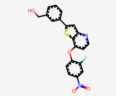 O=[N+]([O-])c1ccc(Oc2ccnc3cc(-c4cccc(CO)c4)sc23)c(F)c1